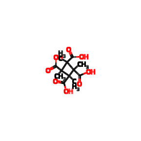 CC1(C(=O)O)C(C)(C(=O)O)C(C)(C(=O)O)C1(C)C(=O)O